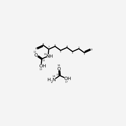 C=CCCCCCC(C=C)NC(=O)O.NC(=O)O